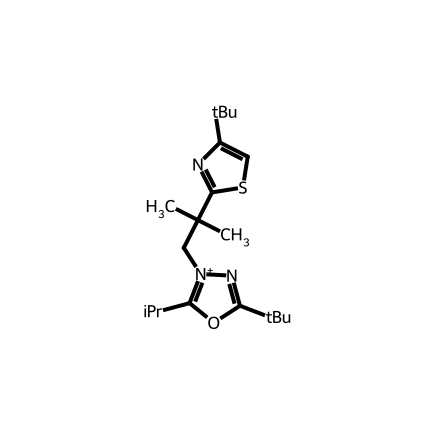 CC(C)c1oc(C(C)(C)C)n[n+]1CC(C)(C)c1nc(C(C)(C)C)cs1